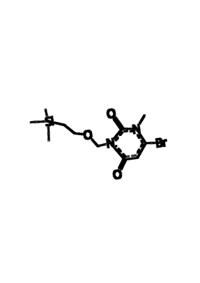 Cn1c(Br)cc(=O)n(COCC[Si](C)(C)C)c1=O